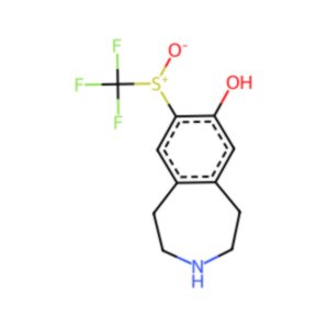 [O-][S+](c1cc2c(cc1O)CCNCC2)C(F)(F)F